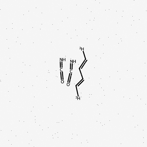 N=C=O.N=C=O.[2H]/C=C/C=C/[2H]